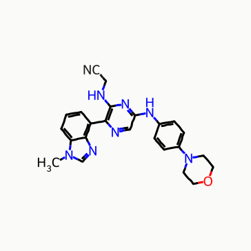 Cn1cnc2c(-c3ncc(Nc4ccc(N5CCOCC5)cc4)nc3NCC#N)cccc21